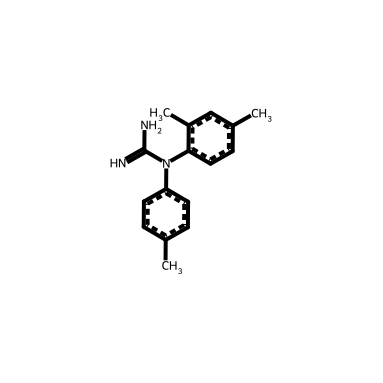 Cc1ccc(N(C(=N)N)c2ccc(C)cc2C)cc1